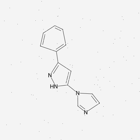 c1ccc(-c2cc(-n3ccnc3)[nH]n2)cc1